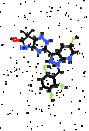 CC1(C)C(=O)Nc2nc(-c3nn(Cc4c(F)ccc(F)c4F)c4ncc(F)cc34)nnc21